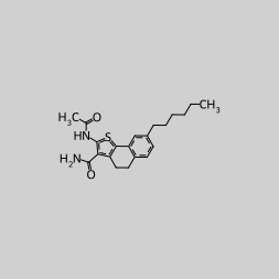 CCCCCCc1ccc2c(c1)-c1sc(NC(C)=O)c(C(N)=O)c1CC2